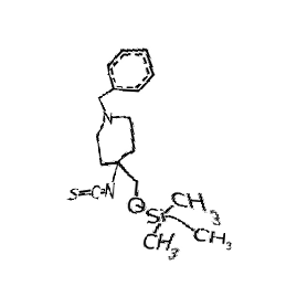 C[Si](C)(C)OCC1(N=C=S)CCN(Cc2ccccc2)CC1